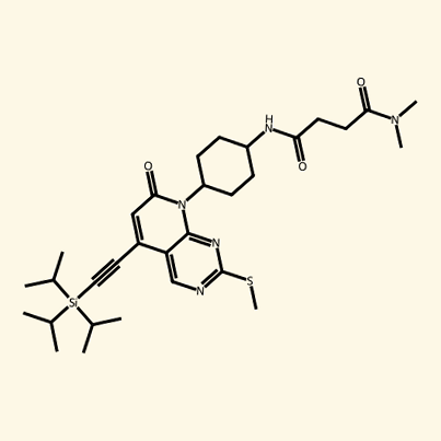 CSc1ncc2c(C#C[Si](C(C)C)(C(C)C)C(C)C)cc(=O)n(C3CCC(NC(=O)CCC(=O)N(C)C)CC3)c2n1